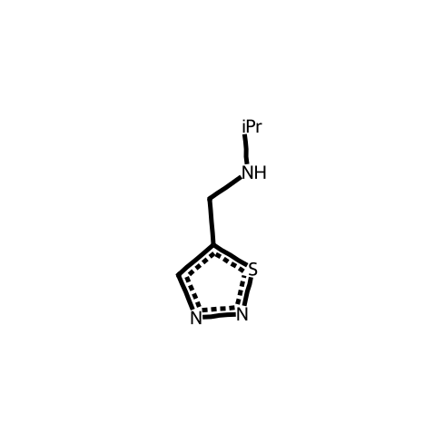 CC(C)NCc1cnns1